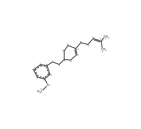 COc1cccc(CCC2CC=C(CCC=C(C)C)CC2)c1